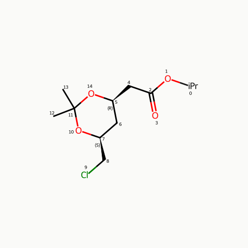 CC(C)OC(=O)C[C@H]1C[C@@H](CCl)OC(C)(C)O1